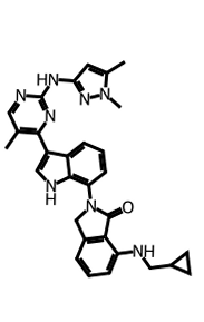 Cc1cnc(Nc2cc(C)n(C)n2)nc1-c1c[nH]c2c(N3Cc4cccc(NCC5CC5)c4C3=O)cccc12